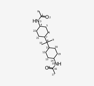 CC(=O)NC1CCC(C(C)(C)C2CCC(NC(C)=O)CC2)CC1